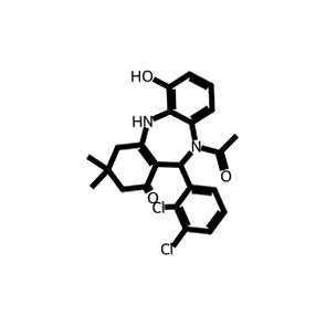 CC(=O)N1c2cccc(O)c2NC2=C(C(=O)CC(C)(C)C2)C1c1cccc(Cl)c1Cl